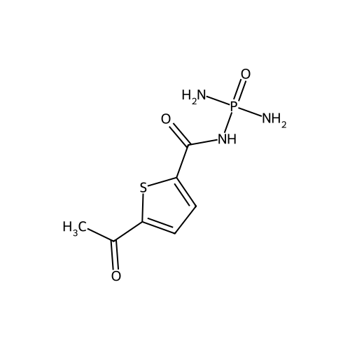 CC(=O)c1ccc(C(=O)NP(N)(N)=O)s1